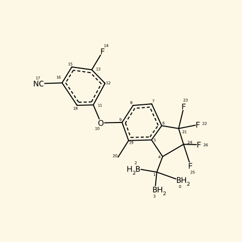 BC(B)(B)C1c2c(ccc(Oc3cc(F)cc(C#N)c3)c2C)C(F)(F)C1(F)F